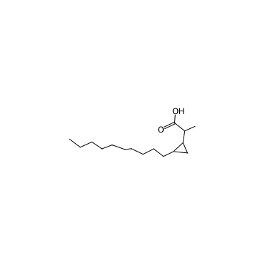 CCCCCCCCCCC1CC1C(C)C(=O)O